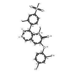 Cc1cc(S(C)(=O)=O)ccc1-c1nncc2cc(Oc3ccc(F)cc3F)c(=O)n(C)c12